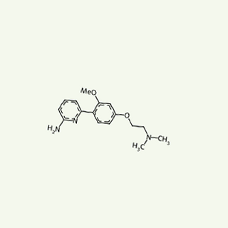 COc1cc(OCCN(C)C)ccc1-c1cccc(N)n1